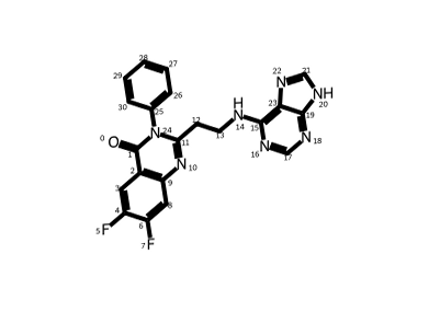 O=c1c2cc(F)c(F)cc2nc(CCNc2ncnc3[nH]cnc23)n1-c1ccccc1